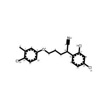 Cc1cc(OCCCC(C#N)c2ccc(Cl)cc2Cl)ccc1Cl